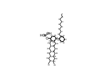 CCCCCCCCCc1ccccc1-c1ccc(OP(O)O)c(CCCCCCCCC)c1CCCCCCCCC